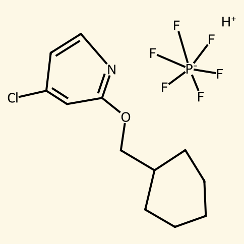 Clc1ccnc(OCC2CCCCC2)c1.F[P-](F)(F)(F)(F)F.[H+]